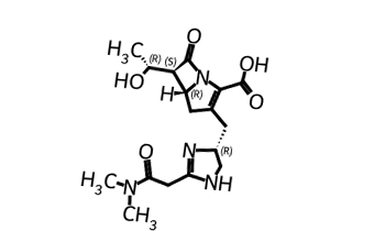 C[C@@H](O)[C@H]1C(=O)N2C(C(=O)O)=C(C[C@@H]3CNC(CC(=O)N(C)C)=N3)C[C@H]12